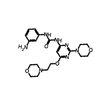 Nc1cccc(NC(=O)Nc2cc(OCCN3CCOCC3)nc(N3CCOCC3)n2)c1